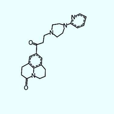 O=C(CCN1CCN(c2ccccn2)CC1)c1cc2c3c(c1)CCC(=O)N3CCC2